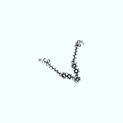 C=CC(=O)OCCCCCCCCCOc1ccc(-c2ccc(CO[C@H]3OCCO[C@@H]3OCc3ccc(-c4ccc(OCCCCCCCCCOC(=O)C=C)cn4)cc3)cc2)nc1